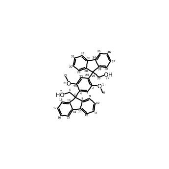 COc1cc(C2(CO)c3ccccc3-c3ccccc32)c(OC)cc1C1(CO)c2ccccc2-c2ccccc21